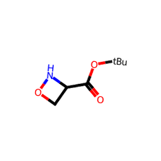 CC(C)(C)OC(=O)C1CON1